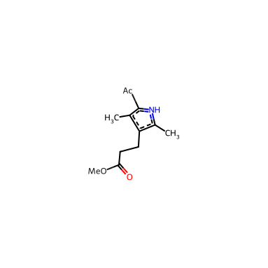 COC(=O)CCc1c(C)[nH]c(C(C)=O)c1C